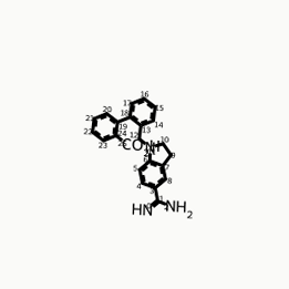 N=C(N)c1ccc2c(c1)CCN2Cc1ccccc1-c1ccccc1C(=O)O